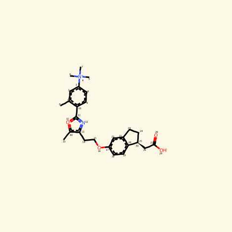 Cc1cc([N+](C)(C)C)ccc1-c1nc(CCOc2ccc3c(c2)CC[C@H]3CC(=O)O)c(C)o1